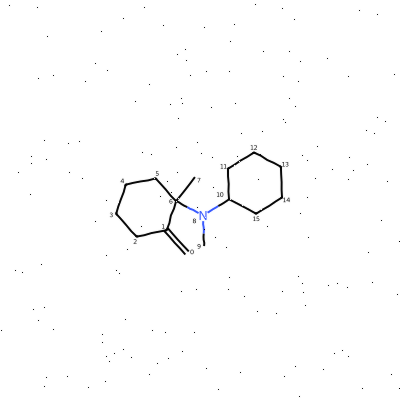 C=C1CCCCC1(C)N(C)C1CCCCC1